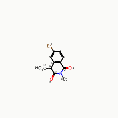 CCN1C(=O)c2ccc(Br)cc2C(C(=O)O)C1=O